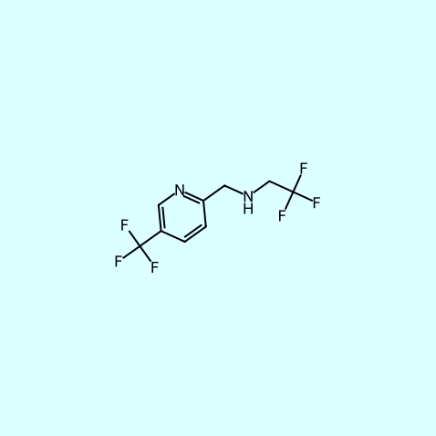 FC(F)(F)CNCc1ccc(C(F)(F)F)cn1